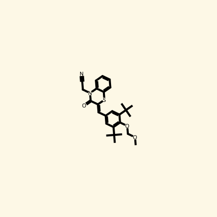 COCOc1c(C(C)(C)C)cc(C=C2Sc3ccccc3N(CC#N)C2=O)cc1C(C)(C)C